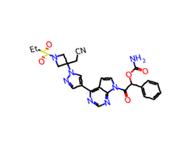 CCS(=O)(=O)N1CC(CC#N)(n2cc(-c3ncnc4c3ccn4C(=O)C(OC(N)=O)c3ccccc3)cn2)C1